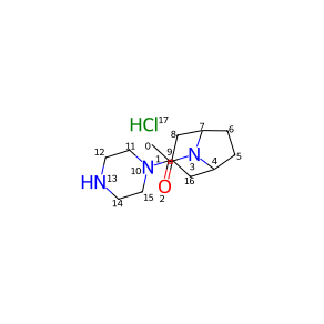 CC(=O)N1C2CCC1CC(N1CCNCC1)C2.Cl